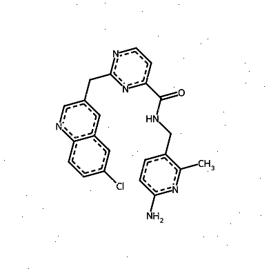 Cc1nc(N)ccc1CNC(=O)c1ccnc(Cc2cnc3ccc(Cl)cc3c2)n1